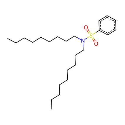 CCCCCCCCCN(CCCCCCCCC)S(=O)(=O)c1cc[c]cc1